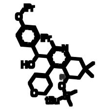 CC(C)Oc1ccc(C(O)c2c(C(C)C)nc3c(c2C2=CCOCC2)[C@H](O[Si](C)(C)C(C)(C)C)CC(C)(C)C3)cc1